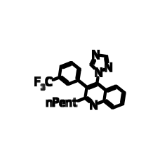 CCCCCc1nc2ccccc2c(-n2cncn2)c1-c1cccc(C(F)(F)F)c1